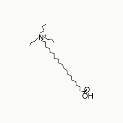 CCCC[N+](CCCC)(CCCC)CCCCCCCCCCCCCCCCCCCC(=O)O